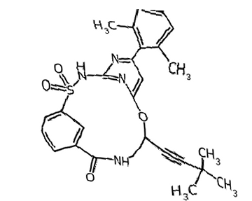 Cc1cccc(C)c1-c1cc2nc(n1)NS(=O)(=O)c1cccc(c1)C(=O)NCC(C#CC(C)(C)C)O2